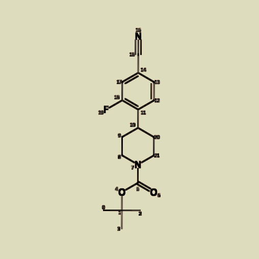 CC(C)(C)OC(=O)N1CCC(c2ccc(C#N)cc2F)CC1